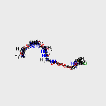 CC(=N)N1C(=N)[C@H](CC(=O)Nc2ccc(OCCOCCOCCOCCOCCOCCC(=O)NCCCN(C)CCCNC(=O)CCNC(=O)c3nc(NC(=O)CCNC(=O)c4cc(NC(=O)c5nc(NC(=O)CCNC(=O)c6cc(NC(=O)c7nccn7C)cn6C)cn5C)cn4C)cn3C)cc2)N=C(c2ccc(Cl)cc2)c2c1sc(C)c2C